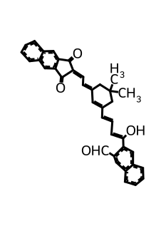 CC1(C)CC(/C=C/C=C(\O)c2cc3ccccc3cc2C=O)=CC(=C/C=C2C(=O)c3cc4ccccc4cc3C2=O)/C1